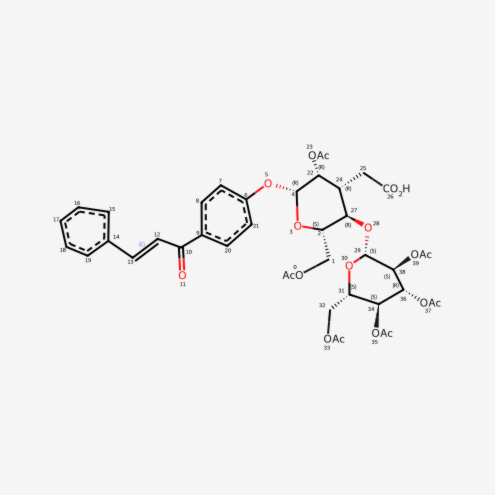 CC(=O)OC[C@@H]1O[C@H](Oc2ccc(C(=O)/C=C/c3ccccc3)cc2)[C@H](OC(C)=O)[C@H](CC(=O)O)[C@H]1O[C@H]1O[C@@H](COC(C)=O)[C@H](OC(C)=O)[C@@H](OC(C)=O)[C@@H]1OC(C)=O